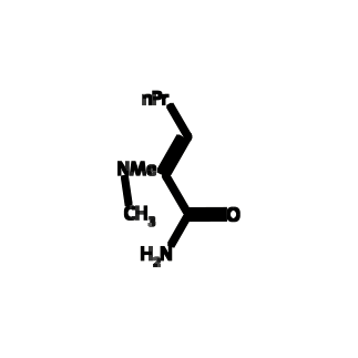 CCCC=CC(N)=O.CNC